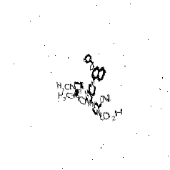 C[C@@H](Oc1nc2c(c(N3CCN(C(=O)O)C(CC#N)C3)n1)CCN(c1cc(OCc3ccccc3)cc3ccccc13)C2)[C@H]1CCCN1C